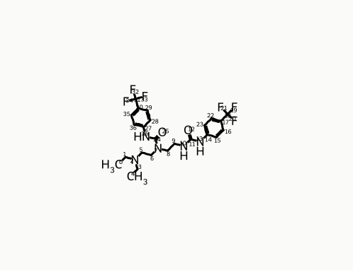 CCN(CC)CCN(CCNC(=O)Nc1ccc(C(F)(F)F)cc1)C(=O)Nc1ccc(C(F)(F)F)cc1